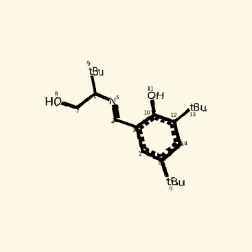 CC(C)(C)c1cc(C=NC(CO)C(C)(C)C)c(O)c(C(C)(C)C)c1